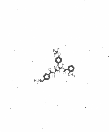 Cc1ccccc1C(=O)Nc1nc(NC(=O)c2ccc(CN)cc2)nn1-c1ccc(OC(F)(F)F)cc1